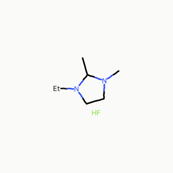 CCN1CCN(C)C1C.F